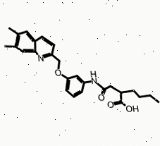 CCCCC(CC(=O)Nc1cccc(OCc2ccc3cc(C)c(C)cc3n2)c1)C(=O)O